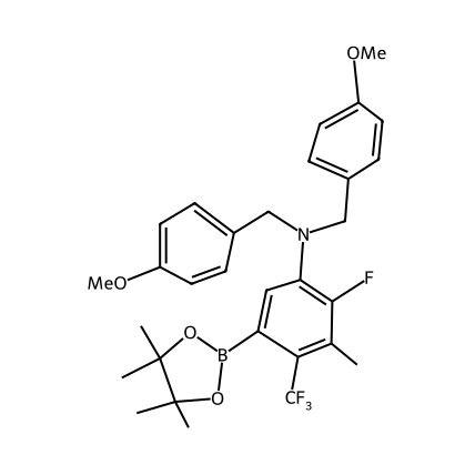 COc1ccc(CN(Cc2ccc(OC)cc2)c2cc(B3OC(C)(C)C(C)(C)O3)c(C(F)(F)F)c(C)c2F)cc1